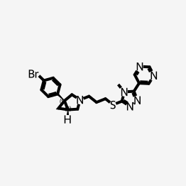 Cn1c(SCCCN2C[C@@H]3C[C@]3(c3ccc(Br)cc3)C2)nnc1-c1cncnc1